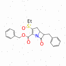 CC[S+]([O-])C1=C(C(=O)OCc2ccccc2)N2C(=O)C(Cc3ccccc3)C2C1